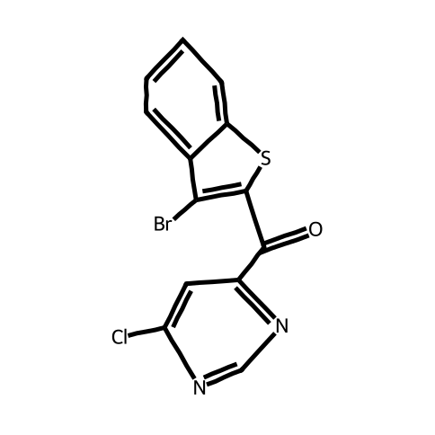 O=C(c1cc(Cl)ncn1)c1sc2ccccc2c1Br